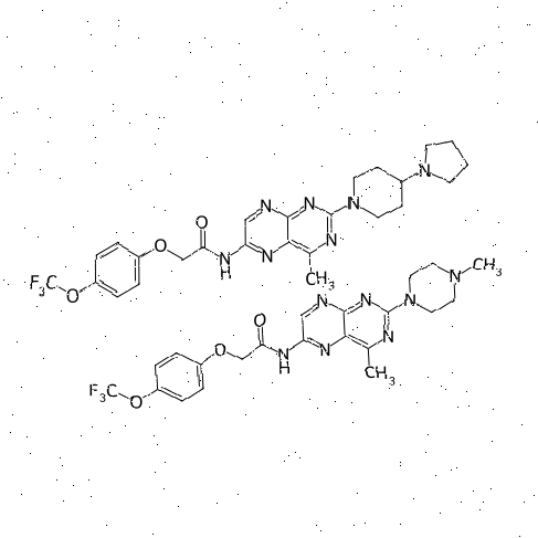 Cc1nc(N2CCC(N3CCCC3)CC2)nc2ncc(NC(=O)COc3ccc(OC(F)(F)F)cc3)nc12.Cc1nc(N2CCN(C)CC2)nc2ncc(NC(=O)COc3ccc(OC(F)(F)F)cc3)nc12